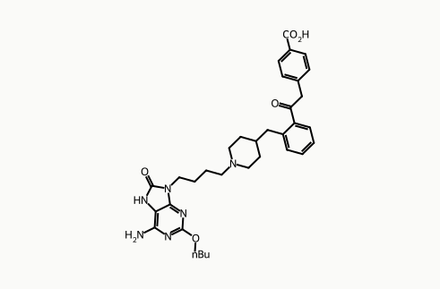 CCCCOc1nc(N)c2[nH]c(=O)n(CCCCN3CCC(Cc4ccccc4C(=O)Cc4ccc(C(=O)O)cc4)CC3)c2n1